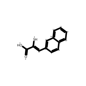 O=C(O)C(S)=Cc1ccc2ccccc2c1